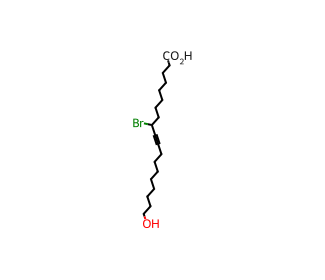 O=C(O)CCCCCCCC(Br)C#CCCCCCCCCO